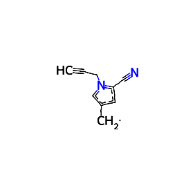 C#CCn1cc([CH2])cc1C#N